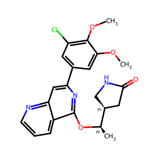 COc1cc(-c2cc3ncccc3c(O[C@H](C)[C@H]3CNC(=O)C3)n2)cc(Cl)c1OC